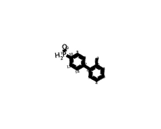 Cc1ccccc1-c1ccc([PH2]=O)cc1